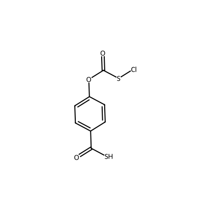 O=C(Oc1ccc(C(=O)S)cc1)SCl